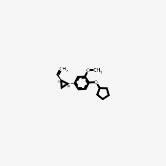 C=C[C@@H]1C[C@H]1c1ccc(OC2CCCC2)c(OC)c1